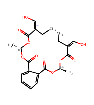 CC/C(=C/O)C(=O)O[C@@H](C)OC(=O)c1ccccc1C(=O)O[C@H](C)OC(=O)/C(=C\O)CC